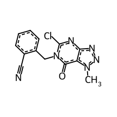 Cn1nnc2nc(Cl)n(Cc3ccccc3C#N)c(=O)c21